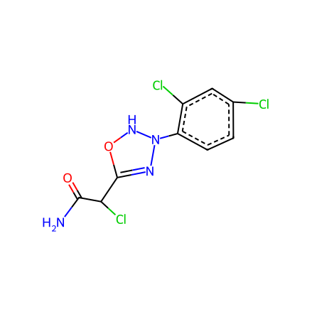 NC(=O)C(Cl)C1=NN(c2ccc(Cl)cc2Cl)NO1